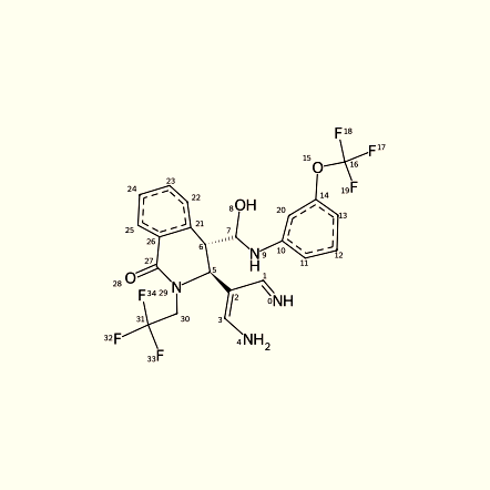 N=C/C(=C\N)[C@@H]1[C@@H](C(O)Nc2cccc(OC(F)(F)F)c2)c2ccccc2C(=O)N1CC(F)(F)F